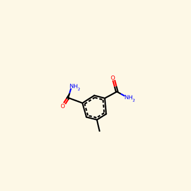 Cc1cc(C(N)=O)cc(C(N)=O)c1